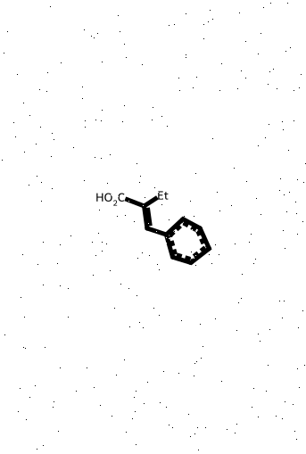 CC/C(=C\c1ccccc1)C(=O)O